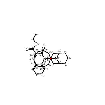 CCOC(=O)c1nc2ccccc2n(C2CC3CCCC(C2)N3C2CCCCCCCC2)c1=O